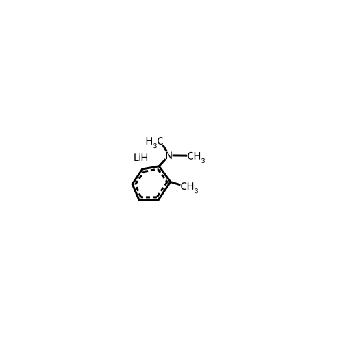 Cc1ccccc1N(C)C.[LiH]